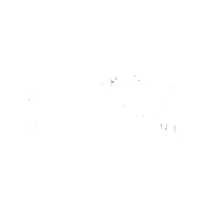 CC(F)(CC[C@H](C[C@@H](O)[CH]Cc1ccc(Cl)c(Cl)c1)C(N)=O)C(N)=O